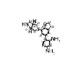 Nc1ncc(-c2cc3c(c(N4C[C@H]5CNC[C@H]5C4)c2)OCC3)c(N)n1